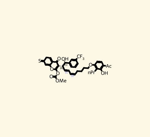 CCCc1c(OCCCC/C=C\C=C\[C@H](c2c(OC(=O)OC)oc3c(c2=O)=CCC(=S)C=3)[C@H](O)c2cccc(C(F)(F)F)c2)ccc(C(C)=O)c1O